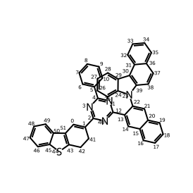 C1=C(c2nc(-c3ccccc3)nc(-c3cc4ccccc4cc3-n3c4ccccc4c4c5ccccc5ccc43)n2)CCc2sc3ccccc3c21